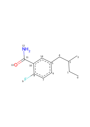 CCC(C)Cc1ccc(F)c(C(N)=O)c1